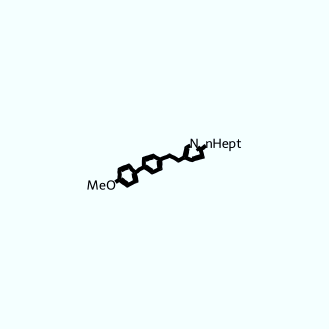 CCCCCCCc1ccc(CCc2ccc(-c3ccc(OC)cc3)cc2)cn1